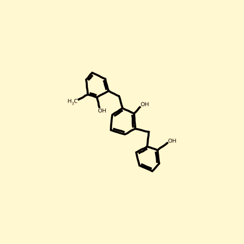 Cc1cccc(Cc2cccc(Cc3ccccc3O)c2O)c1O